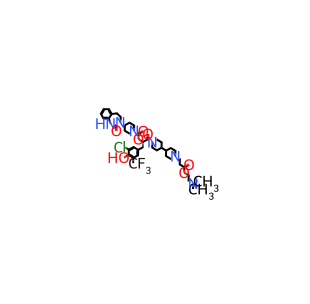 CN(C)CCOC(=O)CCN1CCC(C2CCN(C(=O)[C@@H](Cc3cc(Cl)c(O)c(C(F)(F)F)c3)OC(=O)N3CCC(N4CCc5ccccc5NC4=O)CC3)CC2)CC1